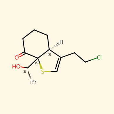 CC(C)[C@H](O)[C@@]12SC=C(CCCl)[C@@H]1CCCC2=O